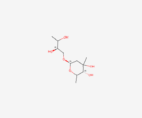 CC(O)[C@H](O)CO[C@H]1CC(C)(O)[C@H](O)C(C)O1